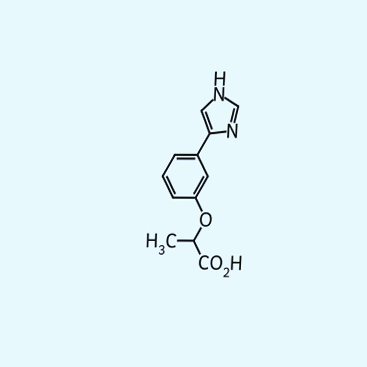 CC(Oc1cccc(-c2c[nH]cn2)c1)C(=O)O